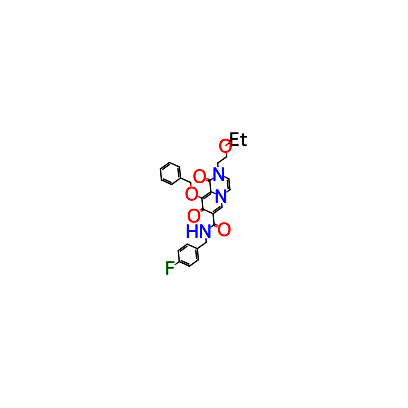 CCOCCn1ccn2cc(C(=O)NCc3ccc(F)cc3)c(=O)c(OCc3ccccc3)c2c1=O